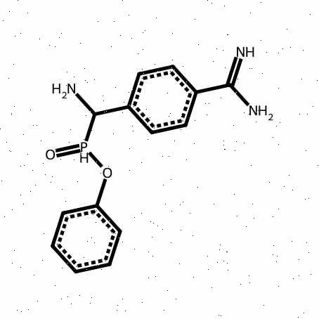 N=C(N)c1ccc(C(N)[PH](=O)Oc2ccccc2)cc1